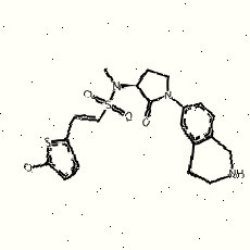 CN([C@H]1CCN(c2ccc3c(c2)CCNC3)C1=O)S(=O)(=O)C=Cc1ccc(Cl)s1